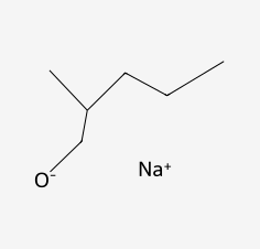 CCCC(C)C[O-].[Na+]